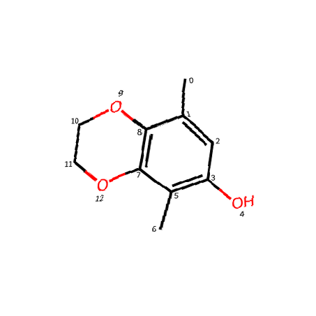 Cc1cc(O)c(C)c2c1OCCO2